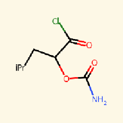 CC(C)CC(OC(N)=O)C(=O)Cl